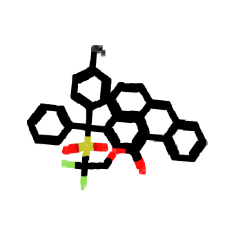 Cc1ccc(C(c2ccccc2)(c2ccccc2)S(=O)(=O)C(F)(F)COC(=O)c2c3ccccc3cc3ccccc23)cc1